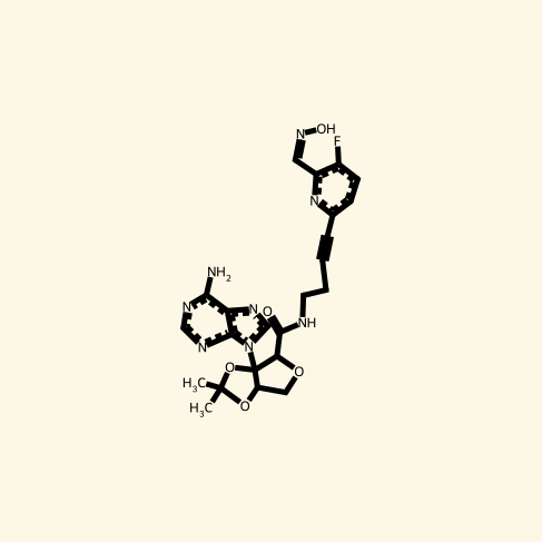 CC1(C)OC2COC(C(=O)NCCC#Cc3ccc(F)c(/C=N\O)n3)C2(n2cnc3c(N)ncnc32)O1